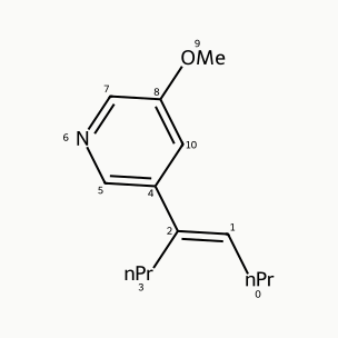 CCCC=C(CCC)c1cncc(OC)c1